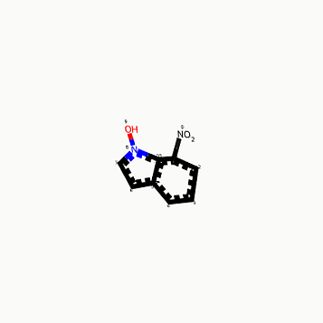 O=[N+]([O-])c1cccc2ccn(O)c12